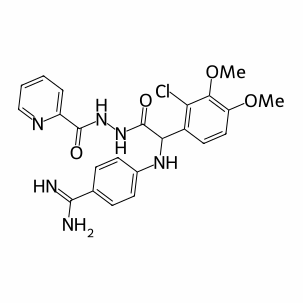 COc1ccc(C(Nc2ccc(C(=N)N)cc2)C(=O)NNC(=O)c2ccccn2)c(Cl)c1OC